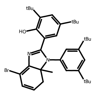 CC(C)(C)c1cc(N2C(c3cc(C(C)(C)C)cc(C(C)(C)C)c3O)=NC3=C(Br)C=CCC32C)cc(C(C)(C)C)c1